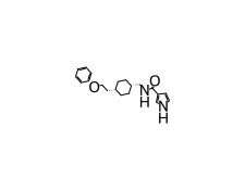 O=C(NC[C@H]1CC[C@@H](CCOc2ccccc2)CC1)c1cc[nH]c1